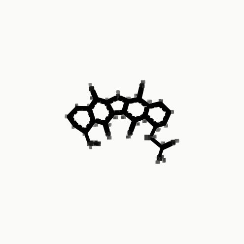 CC(=O)Nc1cccc2c(=O)c3sc4c(=O)c5cccc(NC(=O)C(F)(F)F)c5c(=O)c4c3c(=O)c12